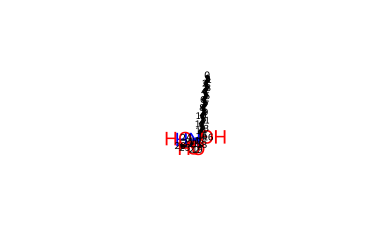 CCCCCCCCCCCCCCC[C@@H](O)[C@H](CO)NC(=O)[C@@H](O)CC